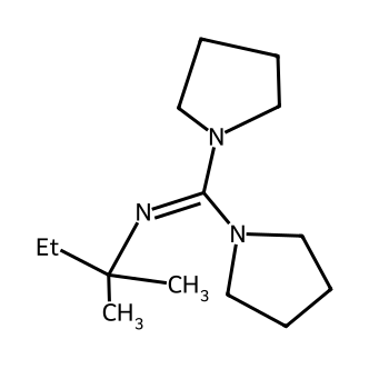 CCC(C)(C)N=C(N1CCCC1)N1CCCC1